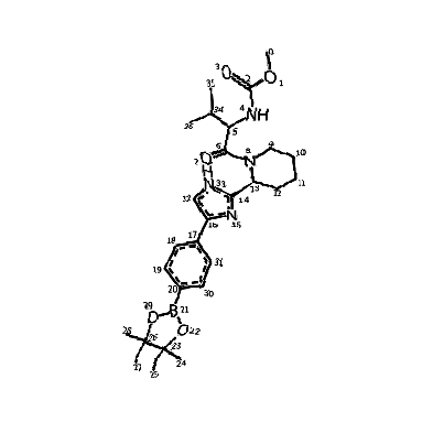 COC(=O)NC(C(=O)N1CCCC[C@H]1c1nc(-c2ccc(B3OC(C)(C)C(C)(C)O3)cc2)c[nH]1)C(C)C